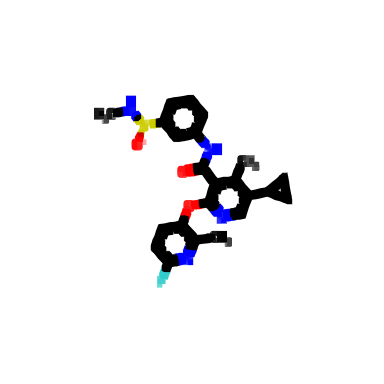 CN[S@+]([O-])c1cccc(NC(=O)c2c(Oc3ccc(F)nc3C)ncc(C3CC3)c2C)c1